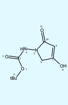 CC(C)(C)OC(=O)NN1CC(O)=CC1=O